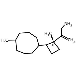 C=C(CN)[C@]1(C)CCC1C1CCCC(C)CCC1